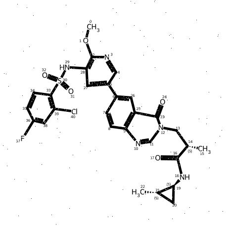 COc1ncc(-c2ccc3ncn(C[C@H](C)C(=O)N[C@H]4C[C@@H]4C)c(=O)c3c2)cc1NS(=O)(=O)c1ccc(F)cc1Cl